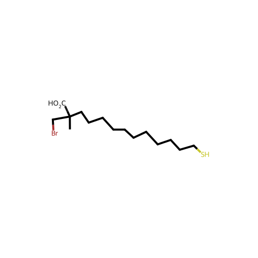 CC(CBr)(CCCCCCCCCCCS)C(=O)O